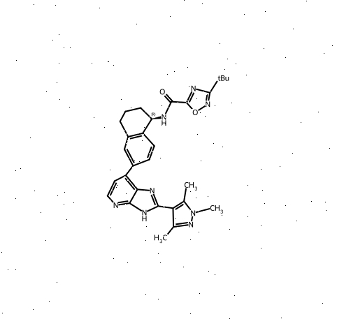 Cc1nn(C)c(C)c1-c1nc2c(-c3ccc4c(c3)CCC[C@H]4NC(=O)c3nc(C(C)(C)C)no3)ccnc2[nH]1